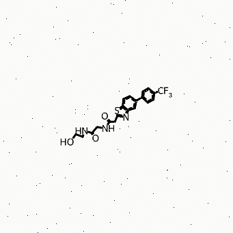 O=C(CNC(=O)Cc1nc2cc(-c3ccc(C(F)(F)F)cc3)ccc2s1)NCCO